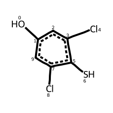 Oc1cc(Cl)c(S)c(Cl)c1